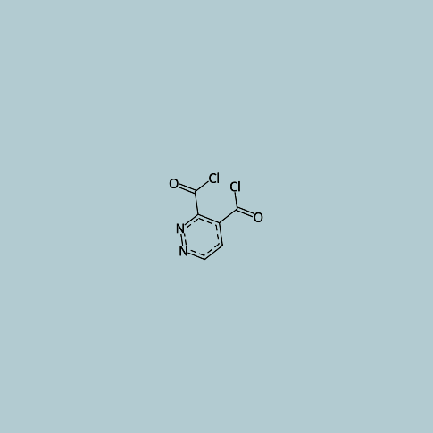 O=C(Cl)c1ccnnc1C(=O)Cl